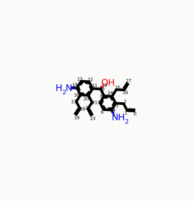 C=CCc1c(N)ccc(C(O)c2ccc(N)c(CC=C)c2CC=C)c1CC=C